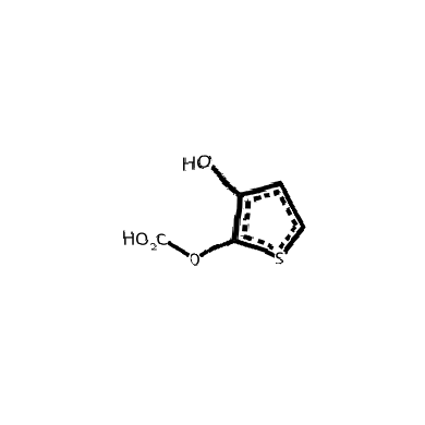 O=C(O)Oc1sccc1O